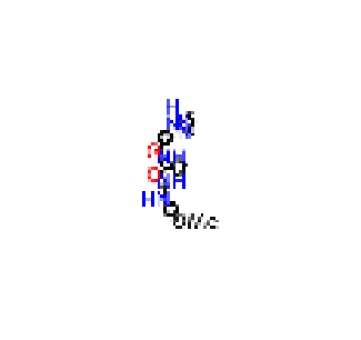 COc1ccc(NCCNC(=O)C(CNC(=O)c2ccc(Nc3nc(C)cc(C)n3)cc2)C2CCCCC2)cc1